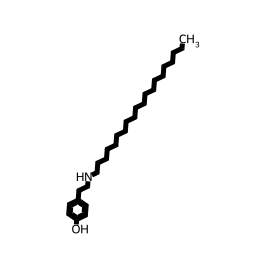 CCCCCCCCCCCCCCCCCCCCNCCc1ccc(O)cc1